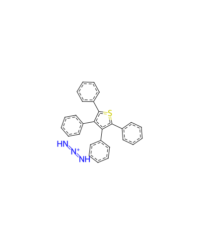 N=[N+]=N.c1ccc(-c2sc(-c3ccccc3)c(-c3ccccc3)c2-c2ccccc2)cc1